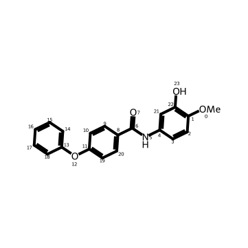 COc1ccc(NC(=O)c2ccc(Oc3ccccc3)cc2)cc1O